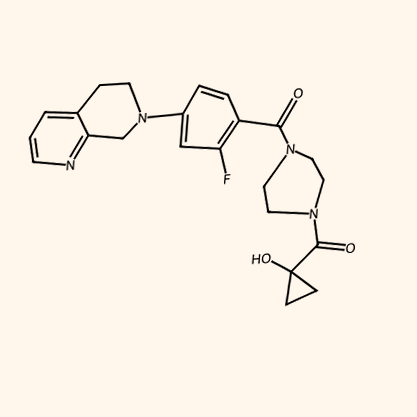 O=C(c1ccc(N2CCc3cccnc3C2)cc1F)N1CCN(C(=O)C2(O)CC2)CC1